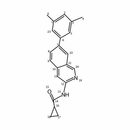 Cc1cc(C)cc(-c2ccc3cc(NC(=O)C4CC4)ncc3c2)c1